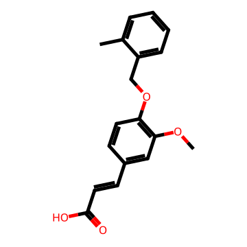 COc1cc(/C=C/C(=O)O)ccc1OCc1ccccc1C